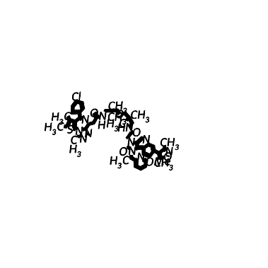 COc1cc2c(cc1-c1c(C)noc1C)ncc1c2n(C(C)c2ccccn2)c(=O)n1CC(=O)NCC(C)(C)COCC(C)(C)CNC(=O)CC1N=C(c2ccc(Cl)cc2)c2c(sc(C)c2C)-n2c(C)nnc21